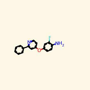 Nc1ccc(Oc2ccnc(-c3ccccc3)c2)cc1F